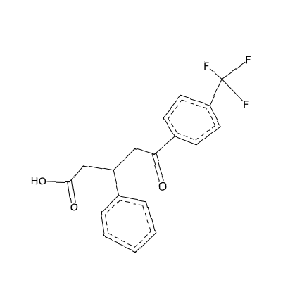 O=C(O)CC(CC(=O)c1ccc(C(F)(F)F)cc1)c1ccccc1